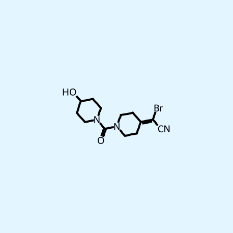 N#CC(Br)=C1CCN(C(=O)N2CCC(O)CC2)CC1